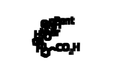 CCCCCNC(=O)c1nc([C@H]2[C@@H](Cc3ccccc3CCC(=O)O)[C@@H]3CC[C@H]2O3)oc1Br